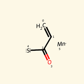 C=CC(=O)[Si].[Mn]